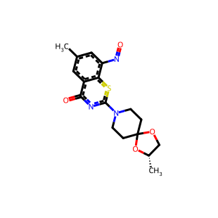 Cc1cc(N=O)c2sc(N3CCC4(CC3)OC[C@H](C)O4)nc(=O)c2c1